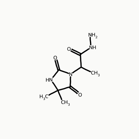 CC(C(=O)NN)N1C(=O)NC(C)(C)C1=O